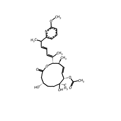 COc1cccc(C(C)/C=C/C=C(\C)[C@H]2OC(=O)C[C@@H](O)CC[C@](C)(O)[C@@H](OC(C)=O)/C=C/[C@@H]2C)n1